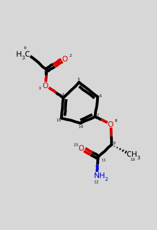 CC(=O)Oc1ccc(O[C@H](C)C(N)=O)cc1